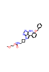 COCCOC(=O)NC[C@H]1C[C@@H](n2cc(-c3cccc(OCc4ccccc4)c3)c3c(N)ncnc32)C1